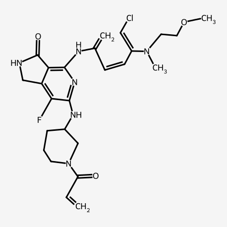 C=CC(=O)N1CCCC(Nc2nc(NC(=C)/C=C\C(=C\Cl)N(C)CCOC)c3c(c2F)CNC3=O)C1